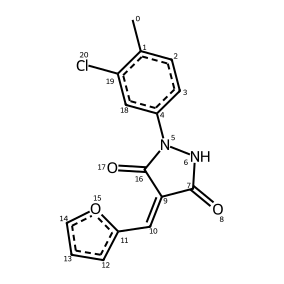 Cc1ccc(N2NC(=O)C(=Cc3ccco3)C2=O)cc1Cl